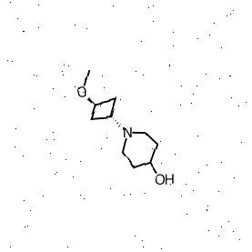 CO[C@H]1C[C@H](N2CCC(O)CC2)C1